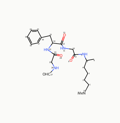 CNCCCCC(C)NC(=O)CNC(=O)C(Cc1ccccc1)NC(=O)CNC=O